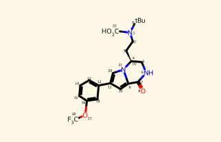 CC(C)(C)N(CC[C@H]1CNC(=O)c2cc(-c3cccc(OC(F)(F)F)c3)cn21)C(=O)O